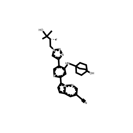 CC(C)(O)[C@H](F)Cn1cc(-c2cnc(-c3ccc4cc(C#N)cnn34)cc2NC23CCC(O)(CC2)CC3)nn1